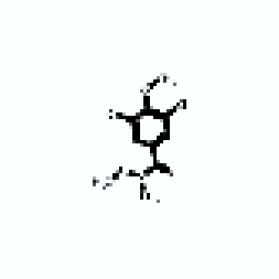 COc1c(Cl)cc(C(=O)N(C)OC)cc1Cl